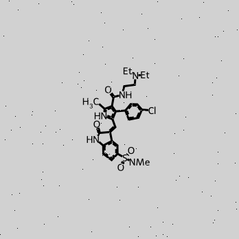 CCN(CC)CCNC(=O)c1c(C)[nH]c(C=C2C(=O)Nc3ccc(S(=O)(=O)NC)cc32)c1-c1ccc(Cl)cc1